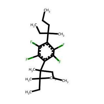 CCCC(C)(CC)c1c(F)c(F)c(C(C)(CCC)C(C)(C)CC)c(F)c1F